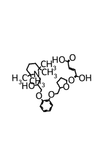 CC1(C)CCCC(C)(C)N1CC(O)COc1ccccc1OCC1CCCO1.O=C(O)C=CC(=O)O